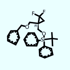 CC(C)(C)[Si](OC[C@]1(COCc2ccccc2)CC1(F)F)(c1ccccc1)c1ccccc1